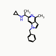 Cc1nc(C(C)NC2CC2)cc2c1ccn2Cc1ccccc1